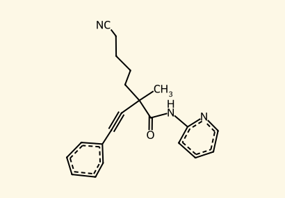 CC(C#Cc1ccccc1)(CCCCC#N)C(=O)Nc1ccccn1